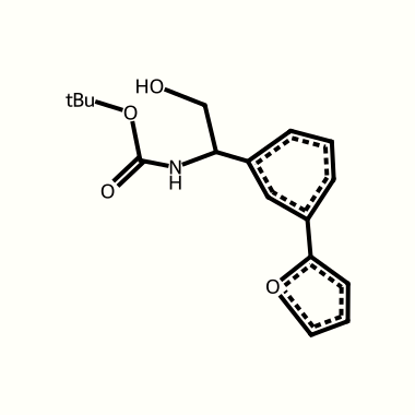 CC(C)(C)OC(=O)NC(CO)c1cccc(-c2ccco2)c1